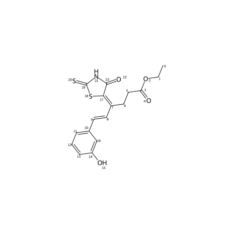 CCOC(=O)CCC(C=Cc1cccc(O)c1)=C1SC(=S)NC1=O